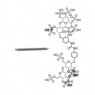 O=C(Nc1ccc(S[C@@H]2O[C@H](COS(=O)(=O)O)[C@@H](O[C@@H]3O[C@H](COS(=O)(=O)O)[C@@H](OS(=O)(=O)O)[C@H](OS(=O)(=O)O)[C@H]3OS(=O)(=O)O)[C@H](OS(=O)(=O)O)[C@H]2OS(=O)(=O)O)cc1)Nc1ccc(S[C@@H]2O[C@H](COS(=O)(=O)O)[C@@H](O[C@@H]3O[C@H](COS(=O)(=O)O)[C@@H](OS(=O)(=O)O)[C@H](OS(=O)(=O)O)[C@H]3OS(=O)(=O)O)[C@H](OS(=O)(=O)O)[C@H]2OS(=O)(=O)O)cc1.[Na+].[Na+].[Na+].[Na+].[Na+].[Na+].[Na+].[Na+].[Na+].[Na+].[Na+].[Na+].[Na+].[Na+]